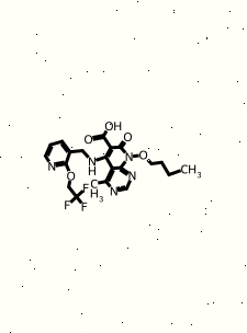 CCCCOn1c(=O)c(C(=O)O)c(NCc2cccnc2OCC(F)(F)F)c2c(C)ncnc21